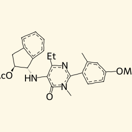 CCc1nc(-c2ccc(OC)cc2C)n(C)c(=O)c1N[C@H]1c2ccccc2C[C@@H]1OC(C)=O